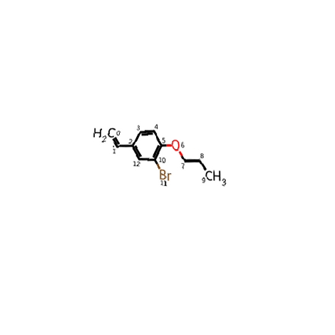 C=[C]c1ccc(OCCC)c(Br)c1